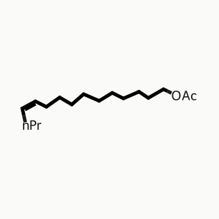 CCC/C=C\CCCCCCCCCCOC(C)=O